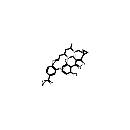 CCNC(C)CC(C/C=N/c1ccc(C(=O)OC)cc1S)NCc1c(C2C(Cl)=CC=CC2Cl)noc1C1CC1